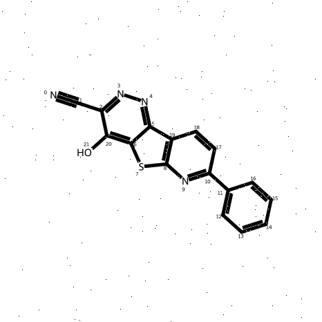 N#Cc1nnc2c(sc3nc(-c4ccccc4)ccc32)c1O